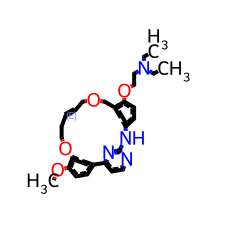 CCN(CC)CCOc1ccc2cc1COC/C=C/CCOc1cc(ccc1OC)-c1ccnc(n1)N2